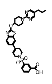 CCCc1cnc(N2CCC(Oc3nc4ccc(C5=CCN(S(=O)(=O)c6cccc(C(=O)O)c6)CC5)cc4s3)CC2)nc1